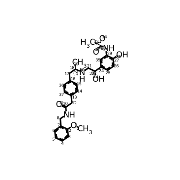 COc1ccccc1CNC(=O)Cc1ccc(C[C@@H](C)NC[C@H](O)c2ccc(O)c(NS(C)(=O)=O)c2)cc1